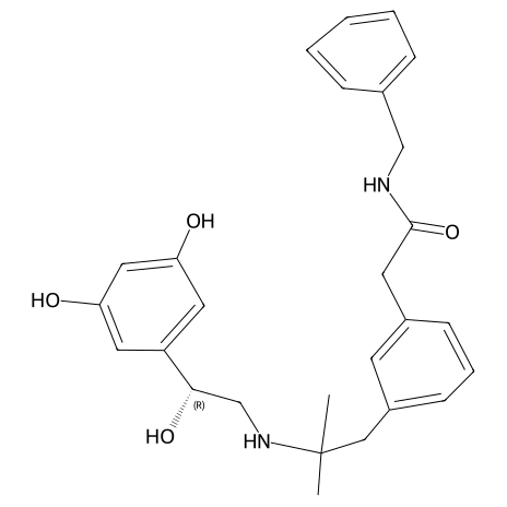 CC(C)(Cc1cccc(CC(=O)NCc2ccccc2)c1)NC[C@H](O)c1cc(O)cc(O)c1